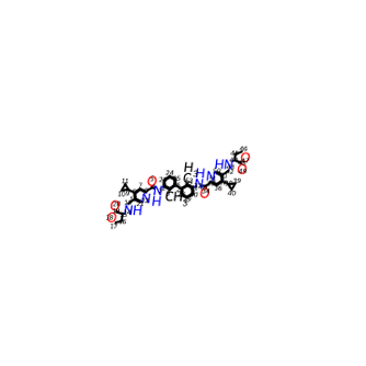 Cc1c(NC(=O)c2cc(C3CC3)c(CN[C@H]3CCOC3=O)cn2)cccc1-c1cccc(NC(=O)c2cc(C3CC3)c(CN[C@H]3CCOC3=O)cn2)c1C